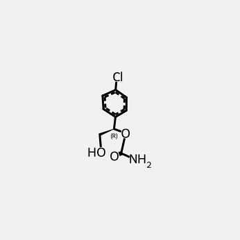 NC(=O)O[C@@H](CO)c1ccc(Cl)cc1